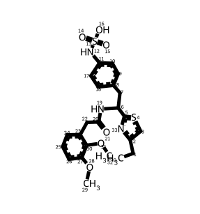 CCc1csc(C(Cc2ccc(NS(=O)(=O)O)cc2)NC(=O)Cc2cccc(OC)c2OC)n1